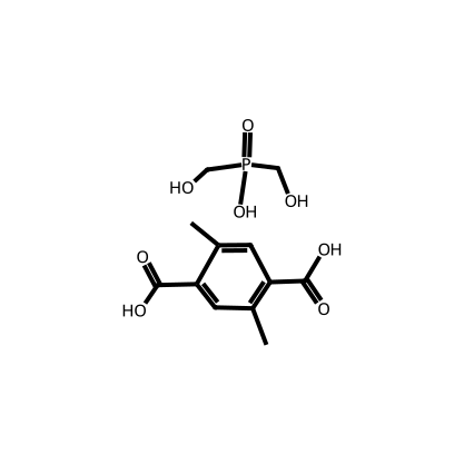 Cc1cc(C(=O)O)c(C)cc1C(=O)O.O=P(O)(CO)CO